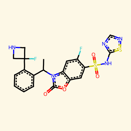 CC(c1ccccc1C1(F)CNC1)n1c(=O)oc2cc(S(=O)(=O)Nc3ncns3)c(F)cc21